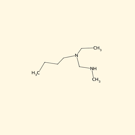 CCCCN(CC)CNC